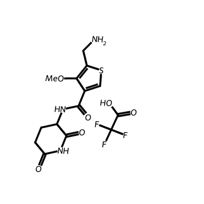 COc1c(C(=O)NC2CCC(=O)NC2=O)csc1CN.O=C(O)C(F)(F)F